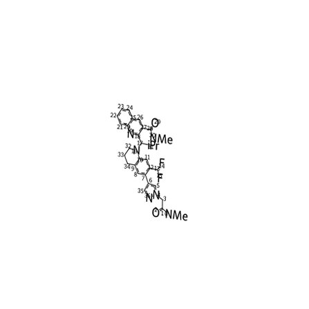 CNC(=O)Cn1cc(-c2cc3c(cc2C(F)F)N(C(c2nc4ccccc4cc2C(=O)NC)C(C)C)CCC3)cn1